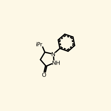 CC(C)C1CC(=O)NN1c1ccccc1